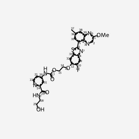 COc1cnc2c(-c3nc4cc(F)c(OCCOC(=O)Nc5ccnc(C(=O)NCCO)c5)cc4s3)cc(C)cc2n1